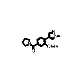 COc1cc(C(=O)N2CCCC2)ccc1-c1cnn(C)c1